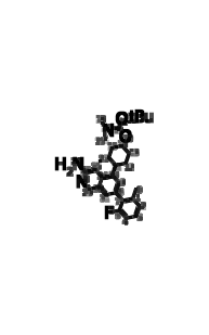 Cc1cccc(F)c1-c1cc(C2CCC[C@@H](CN(C)C(=O)OC(C)(C)C)C2)c2cc(N)ncc2c1